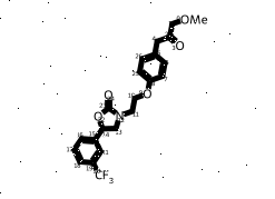 COCC(=O)Cc1ccc(OCCN2CC(c3cccc(C(F)(F)F)c3)OC2=O)cc1